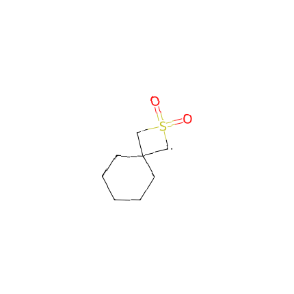 O=S1(=O)[CH]C2(CCCCC2)C1